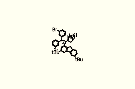 CC(C)(C)c1ccc2c(c1)-c1cc(C(C)(C)C)c[c]([Zr]([C]3=CC=CC3)=[C](c3cccc(Br)c3)c3cccc(Br)c3)c1C2.Cl.Cl